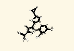 Cc1c(C(N)=O)nn(-c2ccc(Cl)cc2Cl)c1-c1ccc(C2CC2)s1